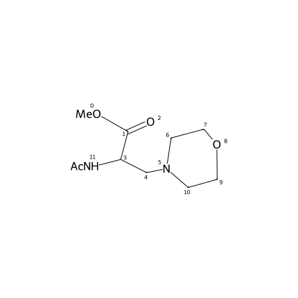 COC(=O)C(CN1CCOCC1)NC(C)=O